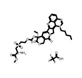 CCCCCN1C=Nc2cccc3nc4c(c1c23)Cn1c-4cc2c(c1=O)COC(=O)[C@@]2(CC)OC(=O)OCCS(=O)(=O)C[C@H](N)C(=O)OC.O=C(O)C(F)(F)F